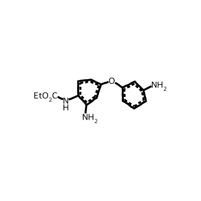 CCOC(=O)Nc1ccc(Oc2cccc(N)c2)cc1N